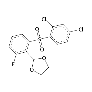 O=S(=O)(c1ccc(Cl)cc1Cl)c1cccc(F)c1C1OCCO1